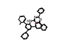 CC1CC=CC=C1c1cc(-c2ccccc2)cc(-c2ccccc2)c1Nc1nc(-c2ccccc2)nc(-c2ccccc2)n1